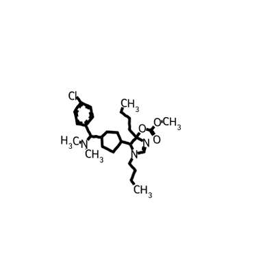 CCCCN1C=NC(CCCC)(OC(=O)OC)C1C1CCC(C(c2ccc(Cl)cc2)N(C)C)CC1